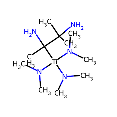 C[N](C)[Ti]([N](C)C)([N](C)C)[C](C)(N)C(C)(C)N